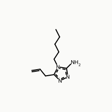 C=CCc1nnc(N)n1CCCCC